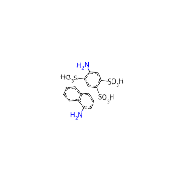 Nc1cc(S(=O)(=O)O)c(S(=O)(=O)O)cc1S(=O)(=O)O.Nc1cccc2ccccc12